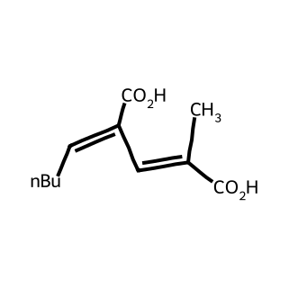 CCCCC=C(C=C(C)C(=O)O)C(=O)O